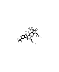 CCn1c(=O)n(C)c2cc(-c3nc4cc(C(F)(F)F)ncc4n3C)c([S+]([O-])CC)cc21